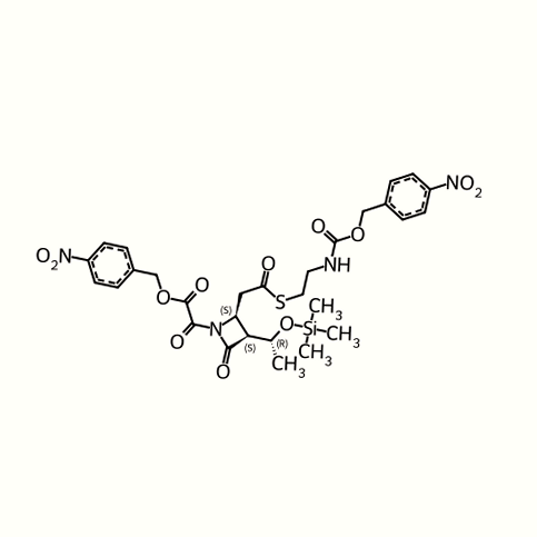 C[C@@H](O[Si](C)(C)C)[C@H]1C(=O)N(C(=O)C(=O)OCc2ccc([N+](=O)[O-])cc2)[C@H]1CC(=O)SCCNC(=O)OCc1ccc([N+](=O)[O-])cc1